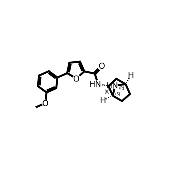 COc1cccc(-c2ccc(C(=O)N[C@@H]3C[C@H]4CC[C@@H]3N4)o2)c1